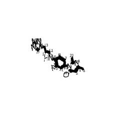 Cc1cc(=O)n(-c2ccc(NCCCn3cnnn3)c(F)c2)c(C)n1